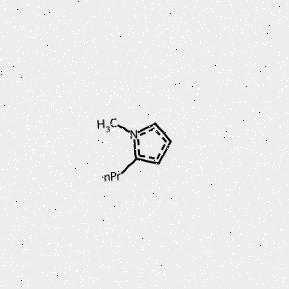 CC[CH]c1cccn1C